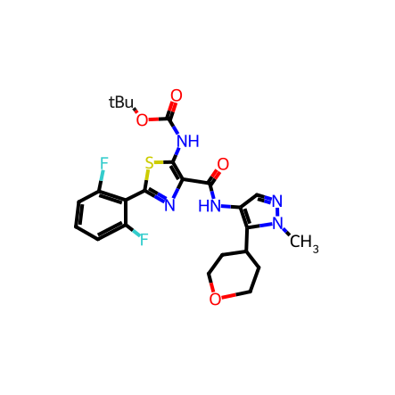 Cn1ncc(NC(=O)c2nc(-c3c(F)cccc3F)sc2NC(=O)OC(C)(C)C)c1C1CCOCC1